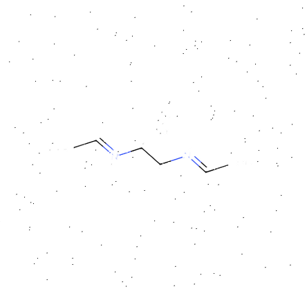 O=C([O-])C=NCCN=CC(=O)[O-].[Na+].[Na+]